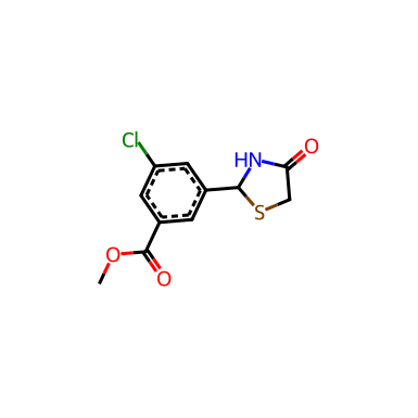 COC(=O)c1cc(Cl)cc(C2NC(=O)CS2)c1